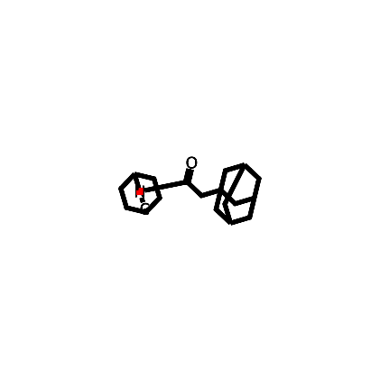 O=C(CC12CC3CC(CC(C3)C1)C2)N1CC2CCC(CC2)C1